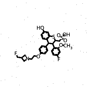 COc1cc(F)ccc1C1C(CS(=O)(=O)O)Sc2cc(O)ccc2C1c1ccc(OCCN2CC(CF)C2)cc1